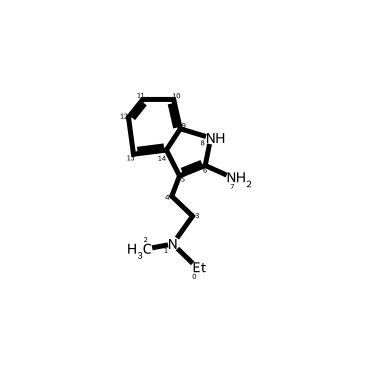 CCN(C)CCc1c(N)[nH]c2ccccc12